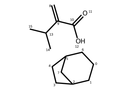 C1CC2CCC(C1)C2.C=C(C(=O)O)C(C)C